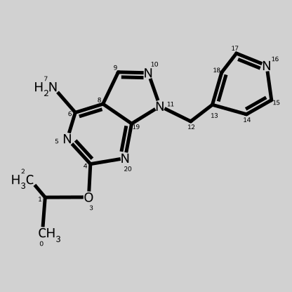 CC(C)Oc1nc(N)c2cnn(Cc3ccncc3)c2n1